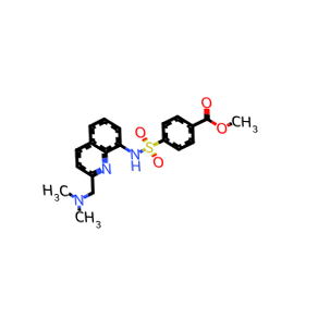 COC(=O)c1ccc(S(=O)(=O)Nc2cccc3ccc(CN(C)C)nc23)cc1